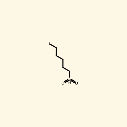 O=[SH](=O)CCCCCI